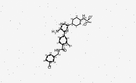 CS(=O)(=O)N[C@H]1CC[C@@H](c2cnc(N)c(-c3ccc(C(=O)NCc4cccc(Cl)c4)c(I)c3)n2)CC1